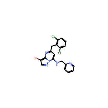 Clc1cccc(Cl)c1Cc1cc(NCc2ccccn2)n2ncc(Br)c2n1